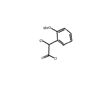 COc1ccccc1C(Cl)C(=O)Cl